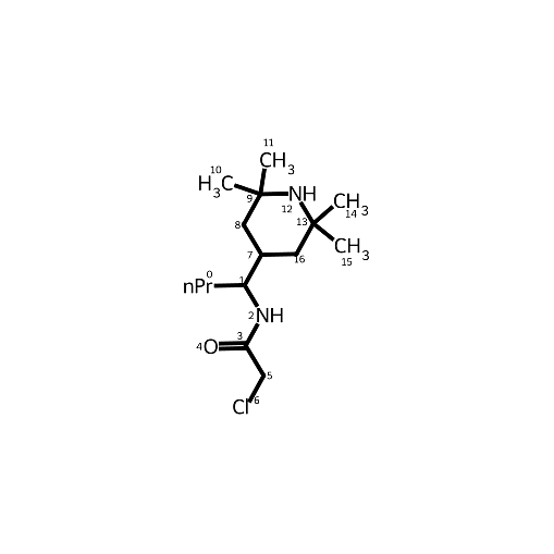 CCCC(NC(=O)CCl)C1CC(C)(C)NC(C)(C)C1